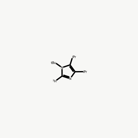 [2H]c1nc(C(C)C)c(C(C)C)n1C(C)(C)C